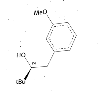 COc1cccc(C[C@H](O)C(C)(C)C)c1